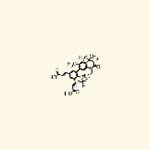 CCN1C(=O)CC(C)(C)c2cc(C)c(-c3cc(/C=C/C(=O)O)cc(/C=C/C(=O)O)c3OC(F)(F)F)cc21